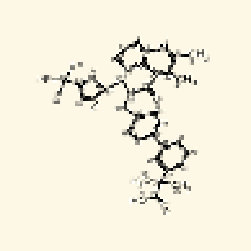 Cc1nc2cccnc2c(C(=O)N(Cc2ccc(-c3cccc(C(C)(C)C(=O)O)c3)cc2)Cc2nc(C(F)(F)F)cs2)c1C